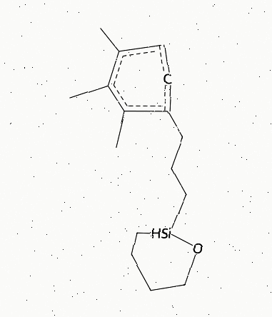 Cc1ccc(CCC[SiH]2CCCCO2)c(C)c1C